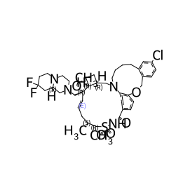 CO[C@@]1(CN2CCN3CCC(F)(F)C[C@H]3C2)/C=C/C[C@H](C)[C@@H](C)S(=O)(=O)NC(=O)c2ccc3c(c2)N(CCCCc2cc(Cl)ccc2CO3)C[C@@H]2CC[C@H]21